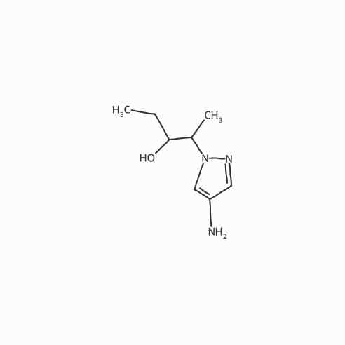 CCC(O)C(C)n1cc(N)cn1